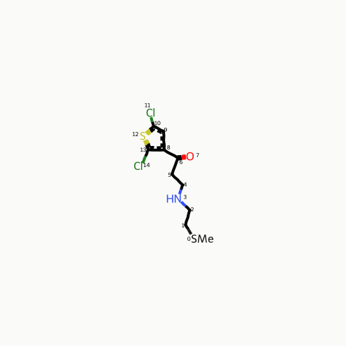 CSCCNCCC(=O)c1cc(Cl)sc1Cl